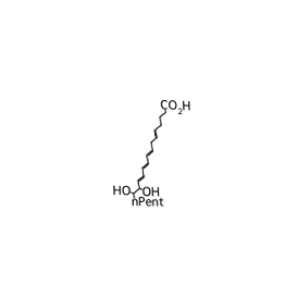 CCCCCC(O)C(O)C=CC=CC=CCC=CCCCC(=O)O